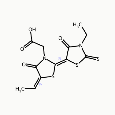 C/C=c1/s/c(=C2\SC(=S)N(CC)C2=O)n(CC(=O)O)c1=O